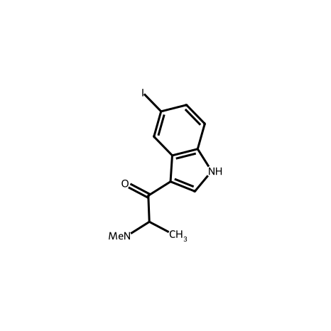 CNC(C)C(=O)c1c[nH]c2ccc(I)cc12